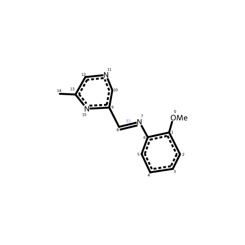 COc1ccccc1/N=C/c1cncc(C)n1